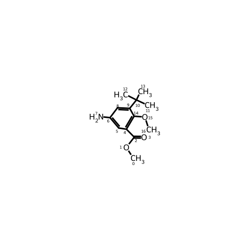 COC(=O)c1cc(N)cc(C(C)(C)C)c1OC